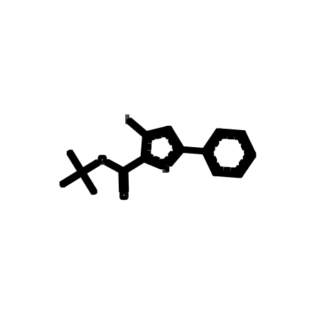 CC(C)(C)OC(=O)c1sc(-c2ccccc2)cc1I